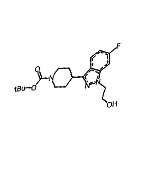 CC(C)(C)OC(=O)N1CCC(c2nn(CCO)c3cc(F)ccc23)CC1